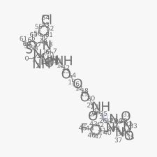 CC(=N)N1C(=N)[C@H](CC(=O)NCCOCCOCCOCCNC(=O)/C=C/c2nc3c(=O)n(C)c(=O)n(C)c3n2Cc2ccc(F)cc2)N=C(c2ccc(Cl)cc2)c2c1sc(C)c2C